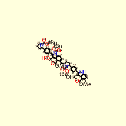 COC(=O)c1cccc2[nH]c(-c3ccc(C4CCC(Cc5ccc6c(c(CO)c(-c7ccc(C8CCCN8C(=O)OC(C)(C)C)cc7)n6C(=O)OC(C)(C)C)c5C(=O)OC)N4C(=O)OC(C)(C)C)cc3)c(C=O)c12